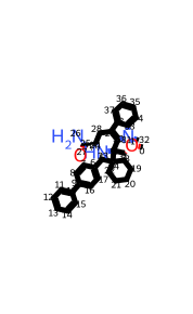 COCC1(C2(Cc3ccc(-c4ccccc4)cc3)CCCCC2)N[C@@H](C(N)=O)Cc2c1n(C)c1ccccc21